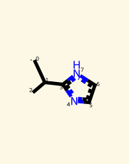 [CH2]C(C)c1ncc[nH]1